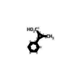 CC1C(C(=O)O)C1c1ccccc1